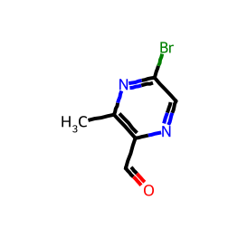 Cc1nc(Br)cnc1C=O